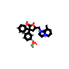 Cc1ccc[n+]2ccn(CC3CC(c4ccccc4)(c4ccccc4)C(=O)O3)c12.O.[Cl-]